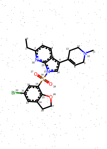 CCc1ccc2c(C3=CCN(C)CC3)cn(S(=O)(=O)c3cc(Br)cc4c3OCC4)c2n1